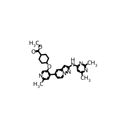 COC(=O)C1CCC(Oc2cnc(C)cc2-c2ccn3nc(Nc4cc(C)nc(C)n4)cc3c2)CC1